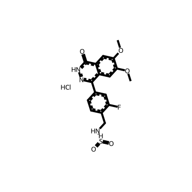 COc1cc2c(-c3ccc(CN[SH](=O)=O)c(F)c3)n[nH]c(=O)c2cc1OC.Cl